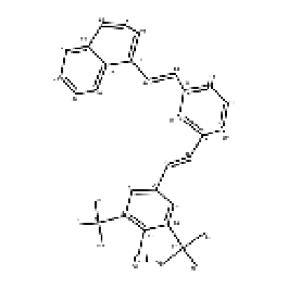 CC(C)(C)c1cc(C=Cc2ncnc(C=Cc3cccc4ccccc34)n2)cc(C(C)(C)C)c1O